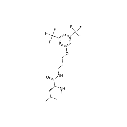 CN[C@@H](CC(C)C)C(=O)NCCCOc1cc(C(F)(F)F)cc(C(F)(F)F)c1